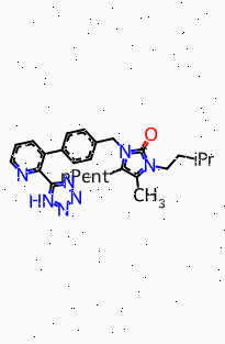 CCCCCc1c(C)n(CCC(C)C)c(=O)n1Cc1ccc(-c2cccnc2-c2nnn[nH]2)cc1